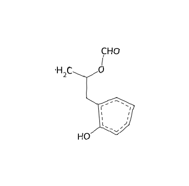 [CH2]C(Cc1ccccc1O)OC=O